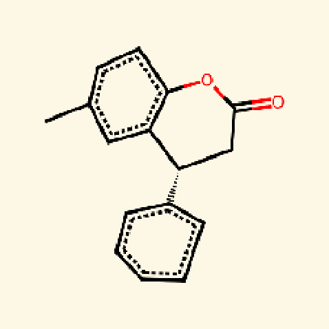 Cc1ccc2c(c1)[C@@H](c1ccccc1)CC(=O)O2